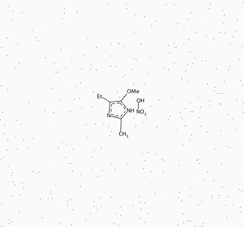 CCc1nc(C)[nH]c1OC.O=[N+]([O-])O